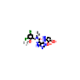 COc1c(F)cc(F)cc1CN(C)C(=O)c1n[nH]c2ncnc(N[C@H]3CC[C@@H](O)[C@H]3O)c12